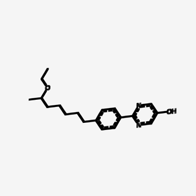 CCOC(C)CCCCCc1ccc(-c2ncc(O)cn2)cc1